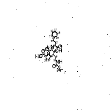 NCC(=O)NCCCC[C@H](N[C@@H](CCc1ccccc1)C(=O)O)C(=O)N1CCC[C@H]1C(=O)O